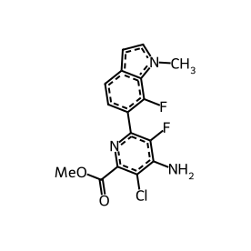 COC(=O)c1nc(-c2ccc3ccn(C)c3c2F)c(F)c(N)c1Cl